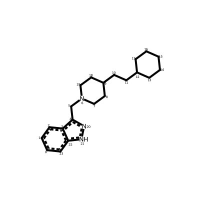 c1ccc2c(CN3CCC(CCC4CCCCC4)CC3)n[nH]c2c1